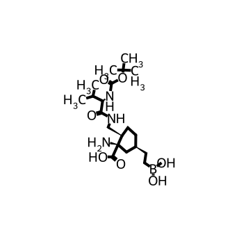 CC(C)[C@H](NC(=O)OC(C)(C)C)C(=O)NC[C@H]1CC[C@@H](CCB(O)O)C[C@]1(N)C(=O)O